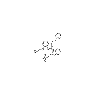 COCCOc1cccc2c(CCc3ccccc3)nc(-n3c(CCS(C)(=O)=O)cc4ccccc43)nc12